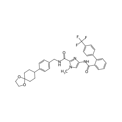 Cn1cc(NC(=O)c2ccccc2-c2ccc(C(F)(F)F)cc2)nc1C(=O)NCc1ccc(C2CCC3(CC2)OCCO3)cc1